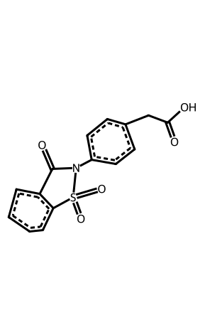 O=C(O)Cc1ccc(N2C(=O)c3ccccc3S2(=O)=O)cc1